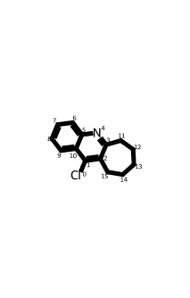 Clc1c2c(nc3ccccc13)CCCCC2